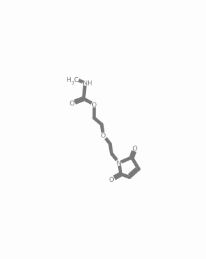 CNC(=O)OCCOCCN1C(=O)C=CC1=O